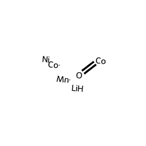 [Co].[LiH].[Mn].[Ni].[O]=[Co]